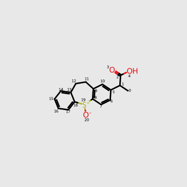 CC(C(=O)O)c1ccc2c(c1)CCc1ccccc1[S+]2[O-]